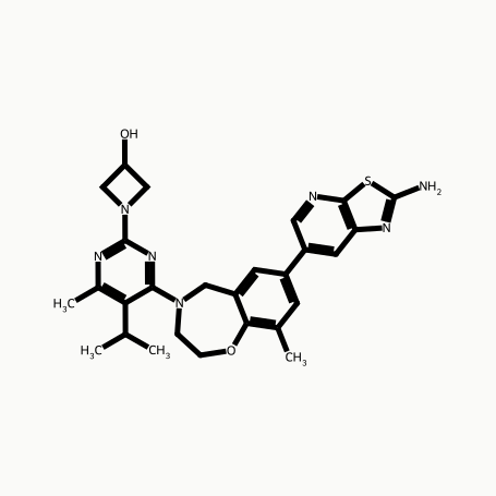 Cc1cc(-c2cnc3sc(N)nc3c2)cc2c1OCCN(c1nc(N3CC(O)C3)nc(C)c1C(C)C)C2